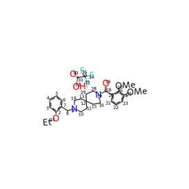 CCOc1ccccc1CN1CCC2(CC1)CCN(C(=O)c1cccc(OC)c1OC)CC2.O=C(O)C(F)(F)F